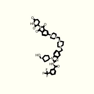 O=C1CCC(N2C(=O)c3ccc(N4CCN(CN5CCN(Cc6ccc7c(c6)nc(NC(=O)c6cccc(C(F)(F)F)c6)n7[C@H]6CC[C@@H](CO)CC6)CC5)CC4)cc3C2=O)C(=O)N1